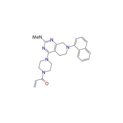 C=CC(=O)N1CCN(c2nc(NC)nc3c2CCN(c2cccc4ccccc24)C3)CC1